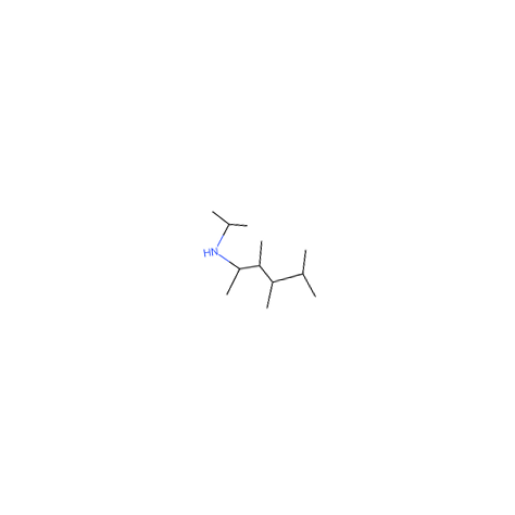 CC(C)NC(C)C(C)C(C)C(C)C